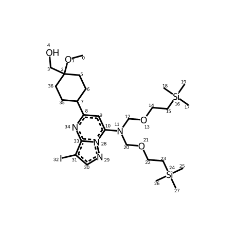 COC1(CO)CCC(c2cc(N(COCC[Si](C)(C)C)COCC[Si](C)(C)C)n3ncc(I)c3n2)CC1